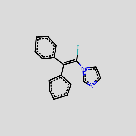 FC(=C(c1ccccc1)c1ccccc1)n1ccnc1